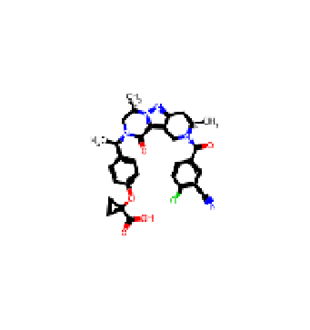 CC(c1ccc(OC2(C(=O)O)CC2)cc1)N1C[C@@H](C)n2nc3c(c2C1=O)CN(C(=O)c1ccc(Cl)c(C#N)c1)[C@H](C)C3